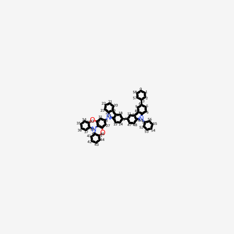 c1ccc(-c2ccc3c(c2)c2cc(-c4ccc5c(c4)c4ccccc4n5-c4cc5c6c(c4)Oc4ccccc4N6c4ccccc4O5)ccc2n3-c2ccccc2)cc1